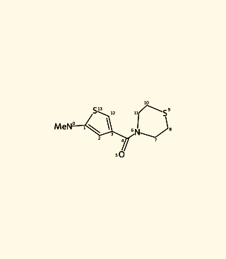 CNc1cc(C(=O)N2CCSCC2)cs1